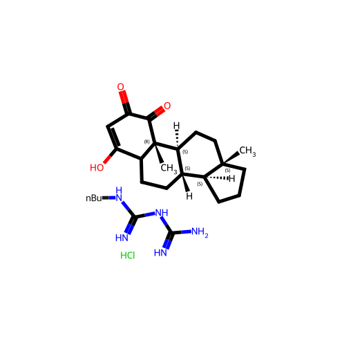 CCCCNC(=N)NC(=N)N.C[C@@]12CCC[C@H]1[C@@H]1CCC3C(O)=CC(=O)C(=O)[C@]3(C)[C@H]1CC2.Cl